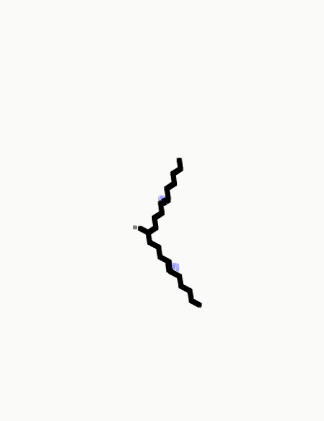 [CH2]C(CCC/C=C/CCCCC)CCC/C=C/CCCCC